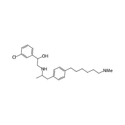 CNCCCCCCc1ccc(CC(C)NCC(O)c2cccc(Cl)c2)cc1